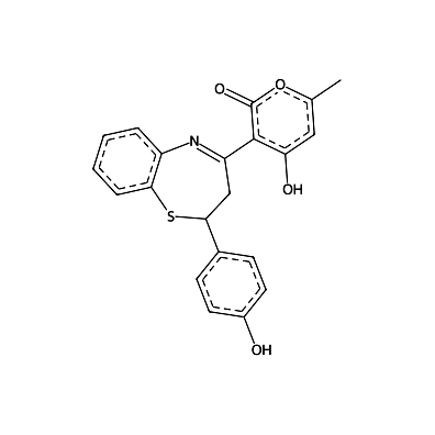 Cc1cc(O)c(C2=Nc3ccccc3SC(c3ccc(O)cc3)C2)c(=O)o1